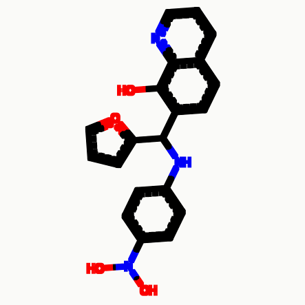 Oc1c(C(Nc2ccc(N(O)O)cc2)c2ccco2)ccc2cccnc12